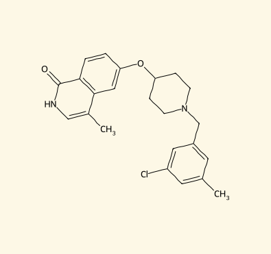 Cc1cc(Cl)cc(CN2CCC(Oc3ccc4c(=O)[nH]cc(C)c4c3)CC2)c1